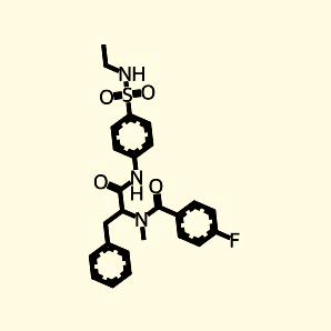 CCNS(=O)(=O)c1ccc(NC(=O)C(Cc2ccccc2)N(C)C(=O)c2ccc(F)cc2)cc1